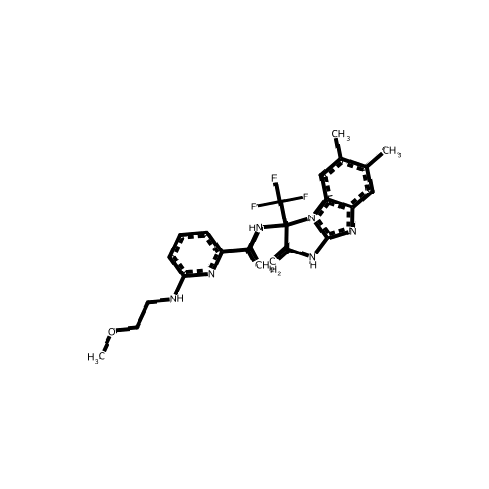 C=C(NC1(C(F)(F)F)C(=C)Nc2nc3cc(C)c(C)cc3n21)c1cccc(NCCOC)n1